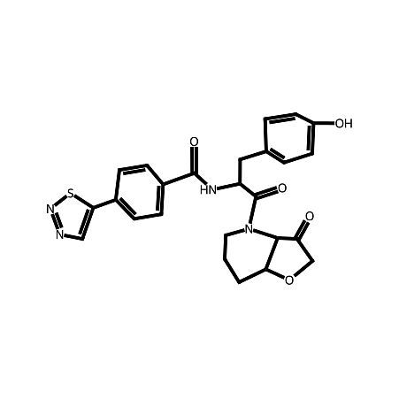 O=C(NC(Cc1ccc(O)cc1)C(=O)N1CCCC2OCC(=O)C21)c1ccc(-c2cnns2)cc1